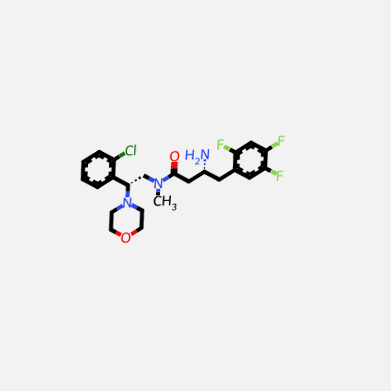 CN(C[C@@H](c1ccccc1Cl)N1CCOCC1)C(=O)C[C@H](N)Cc1cc(F)c(F)cc1F